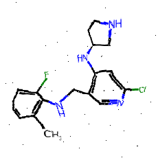 Cc1cccc(F)c1NCc1cnc(Cl)cc1N[C@H]1CCNC1